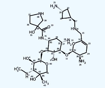 CN[C@@H]1[C@@H](O)[C@@H](O[C@@H]2[C@@H](O)[C@H](O[C@H]3OC(CNC[C@H]4C[C@H](N)C4)=CC[C@H]3N)[C@@H](N)C[C@H]2NC(=O)C2(O)CCNC2)OC[C@]1(C)O